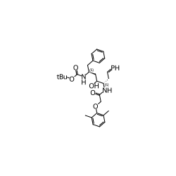 Cc1cccc(C)c1OCC(=O)N[C@@H](CC=P)C(O)C[C@H](Cc1ccccc1)NC(=O)OC(C)(C)C